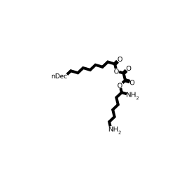 CCCCCCCCCCCCCCCCCC(=O)OC(=O)C(=O)OC(N)CCCCCN